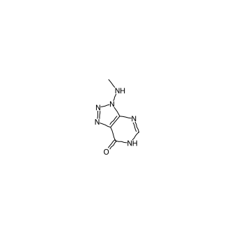 CNn1nnc2c(=O)[nH]cnc21